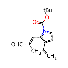 C=Cc1ccn(C(=O)OC(C)(C)C)c1/C=C(\C)C=O